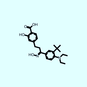 CCN(CC)c1ccc(C(CCc2ccc(C(=O)O)c(O)c2)=NO)cc1C(C)(C)C